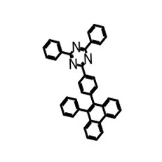 c1ccc(-c2nc(-c3ccccc3)nc(-c3ccc(-c4c(-c5ccccc5)c5ccccc5c5ccccc45)cc3)n2)cc1